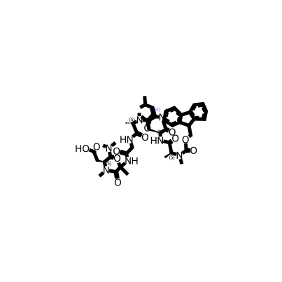 CC(C)/C=C(\C(=O)N(C)[C@@H](C)C(=O)NCC(=O)NC(C)(C)C(=O)N(C)[C@@H](CC(=O)O)C(=O)N(C)C)N(C)C(=O)[C@H](CC(C)C)NC(=O)[C@H](C)N(C)C(=O)OCC1c2ccccc2-c2ccccc21